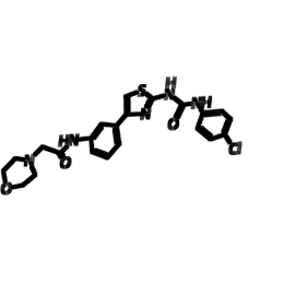 O=C(CN1CCOCC1)Nc1cccc(-c2csc(NC(=O)Nc3ccc(Cl)cc3)n2)c1